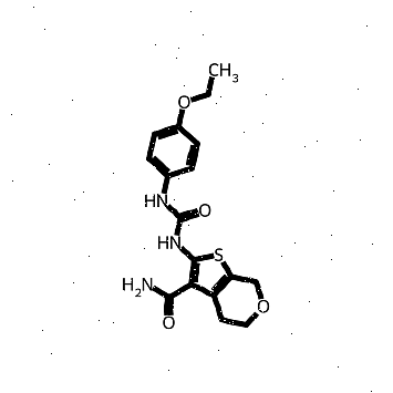 CCOc1ccc(NC(=O)Nc2sc3c(c2C(N)=O)CCOC3)cc1